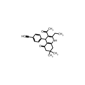 C#Cc1ccc(C2C(C(C)=O)=C(CC)NC3=C2C(=O)CC(C)(C)C3)cc1